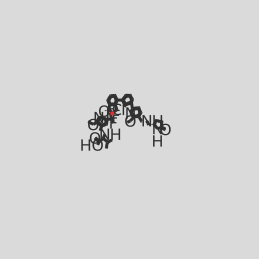 COc1nc(-c2cccc(-c3cccc4c3CC[C@@H]4Oc3nc(OC)c(CNC(C(=O)O)C(C)C)cc3C(F)(F)F)c2Cl)ccc1CNC[C@@H]1CCC(=O)N1